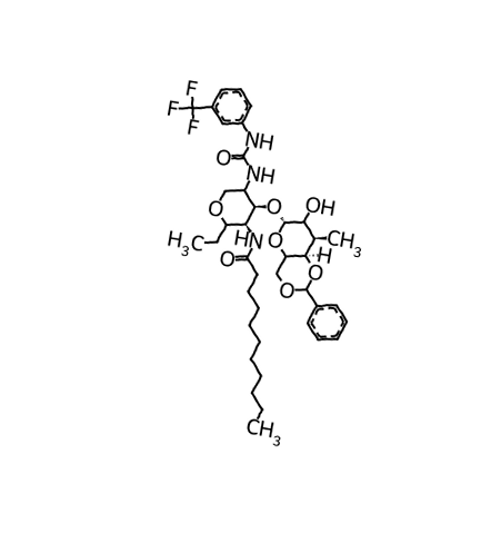 CCCCCCCCCCC(=O)N[C@H]1C(CC)OCC(NC(=O)Nc2cccc(C(F)(F)F)c2)[C@H]1O[C@H]1OC2COC(c3ccccc3)O[C@@H]2[C@H](C)C1O